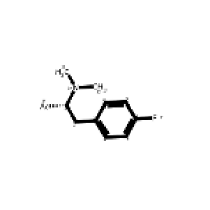 CC(=O)[C@@H](Cc1ccc(F)cc1)N(C)C